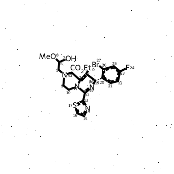 CCOC(=O)C1=C2CN(CC(O)OC)CCN2C(c2nccs2)=N[C@H]1c1ccc(F)cc1Br